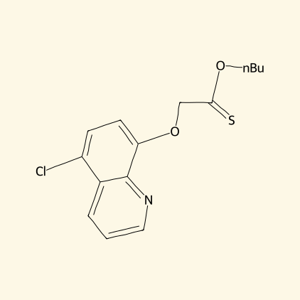 CCCCOC(=S)COc1ccc(Cl)c2cccnc12